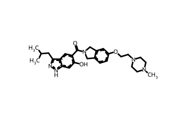 CC(C)Cc1n[nH]c2cc(O)c(C(=O)N3Cc4ccc(OCCN5CCN(C)CC5)cc4C3)cc12